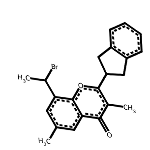 Cc1cc(C(C)Br)c2oc(C3Cc4ccccc4C3)c(C)c(=O)c2c1